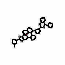 Cc1cccc(-c2nc3cc(-c4ccccc4-c4c(-c5cccc(-c6nc(-c7ccccc7)c7ccccc7n6)c5)ccc5ccccc45)ccc3o2)c1